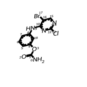 NC(=O)Oc1cccc(Nc2nc(Cl)ncc2Br)c1